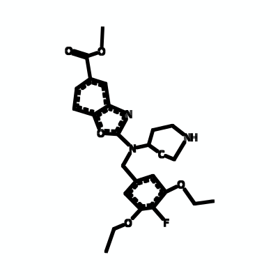 CCOc1cc(CN(c2nc3cc(C(=O)OC)ccc3o2)C2CCNCC2)cc(OCC)c1F